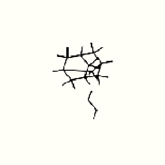 NCCOC12C(F)(F)C3(F)C(F)(F)C(F)(C(F)(F)C(F)(C3(F)F)C1(F)F)C2(F)F